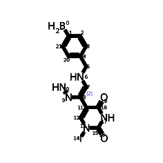 Bc1ccc(CN/C=C(\N=N)c2cn(I)c(=O)[nH]c2=O)cc1